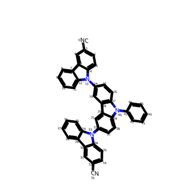 [C-]#[N+]c1ccc2c(c1)c1ccccc1n2-c1ccc2c(c1)c1cc(-n3c4ccccc4c4cc(C#N)ccc43)ccc1n2-c1ccccc1